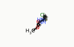 CCCCCOc1ccc(C(=O)NCCNc2nsc3ccc(Cl)cc23)cc1